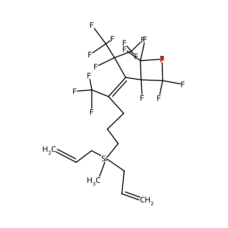 C=CC[Si](C)(CC=C)CCCC(=C(C(F)(C(F)(F)F)C(F)(F)F)C(F)(C(F)(F)F)C(F)(F)F)C(F)(F)F